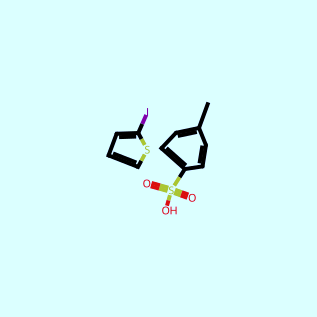 Cc1ccc(S(=O)(=O)O)cc1.Ic1cccs1